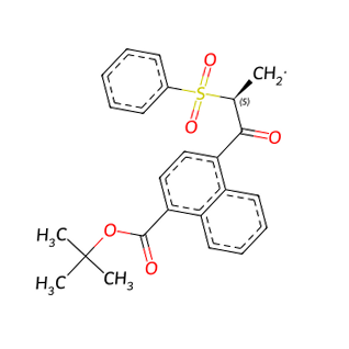 [CH2][C@@H](C(=O)c1ccc(C(=O)OC(C)(C)C)c2ccccc12)S(=O)(=O)c1ccccc1